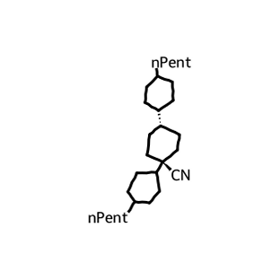 CCCCCC1CCC([C@H]2CC[C@@](C#N)(C3CCC(CCCCC)CC3)CC2)CC1